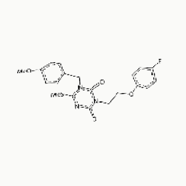 COc1ccc(Cn2c(SC)nc(=O)n(CCOc3ccc(F)cc3)c2=O)cc1